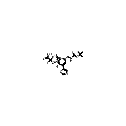 CC(C)(C)OC(=O)NC[C@H]1C=C(c2cnco2)[C@@H]2CN1C(=O)N2OC(F)(F)C(=O)O